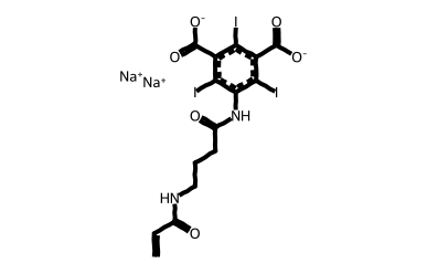 C=CC(=O)NCCCC(=O)Nc1c(I)c(C(=O)[O-])c(I)c(C(=O)[O-])c1I.[Na+].[Na+]